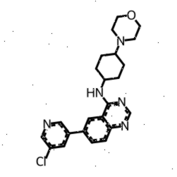 Clc1cncc(-c2ccc3ncnc(NC4CCC(N5CCOCC5)CC4)c3c2)c1